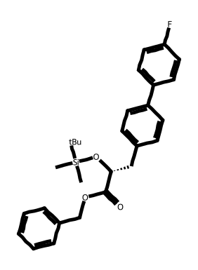 CC(C)(C)[Si](C)(C)O[C@H](Cc1ccc(-c2ccc(F)cc2)cc1)C(=O)OCc1ccccc1